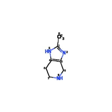 FC(F)(F)c1nc2c([nH]1)CCNC2